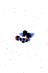 c1cc(-c2cc(-c3nnc(CN4CCN(CCN5CCOCC5)CC4)o3)c3cn[nH]c3c2)c2cc[nH]c2c1